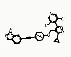 Clc1cncc(Cl)c1-c1noc(C2CC2)c1COC12CCC(C#Cc3ccc4cn[nH]c4c3)(CC1)CC2